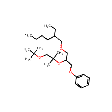 CCCCC(CC)COCC(COc1ccccc1)OC(C)(C)COC(C)(C)C